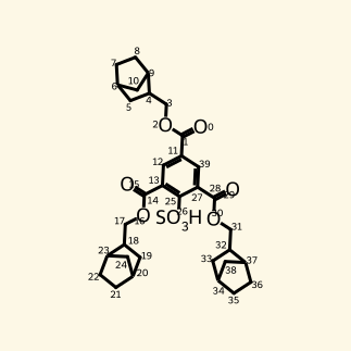 O=C(OCC1CC2CCC1C2)c1cc(C(=O)OCC2CC3CCC2C3)c(S(=O)(=O)O)c(C(=O)OCC2CC3CCC2C3)c1